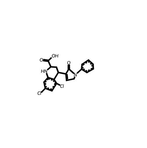 O=C(O)C1CC(C2=CCN(c3ccccc3)C2=O)c2c(Cl)cc(Cl)cc2N1